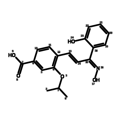 CC(C)Oc1cc(C(=O)O)ccc1/C=C/C(=N\O)c1ccccc1O